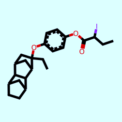 CCC(I)C(=O)Oc1ccc(OC2(CC)CC3CC2C2C4CCC(C4)C32)cc1